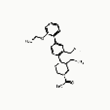 CCOc1ccccc1-c1ccc(N2CCN(C(=O)O)CC2CC)c(CN)c1